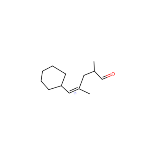 C/C(=C/C1CCCCC1)CC(C)C=O